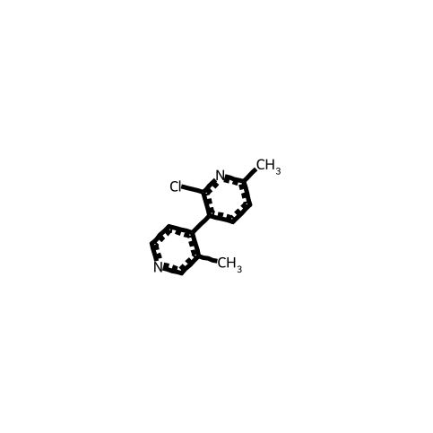 Cc1ccc(-c2ccncc2C)c(Cl)n1